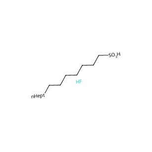 CCCCCCCCCCCCCCS(=O)(=O)O.F